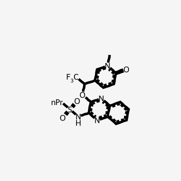 CCCS(=O)(=O)Nc1nc2ccccc2nc1OC(c1ccc(=O)n(C)c1)C(F)(F)F